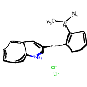 C[SiH](C)C1=[C]([Ti+2][c]2cc3ccccc3[nH]2)CC=C1.[Cl-].[Cl-]